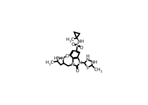 CC1CC(Cn2c(=O)n(C3NNC(C)S3)c3cc(S(=O)(=O)NC4(C)CC4)ccc32)N(C)N1